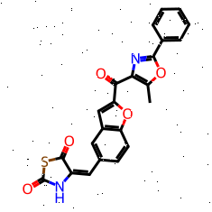 Cc1oc(-c2ccccc2)nc1C(=O)c1cc2cc(C=C3NC(=O)SC3=O)ccc2o1